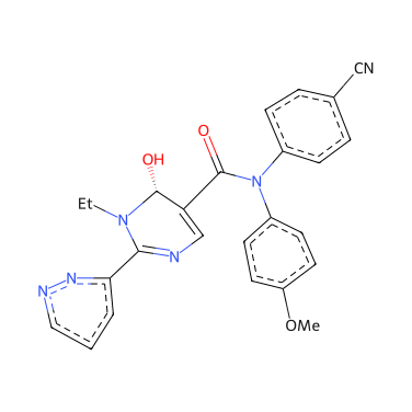 CCN1C(c2cccnn2)=NC=C(C(=O)N(c2ccc(C#N)cc2)c2ccc(OC)cc2)[C@H]1O